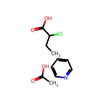 CC(=O)O.CCC(Cl)C(=O)O.c1ccncc1